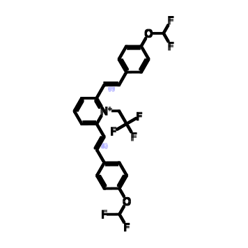 FC(F)Oc1ccc(/C=C/c2cccc(/C=C/c3ccc(OC(F)F)cc3)[n+]2CC(F)(F)F)cc1